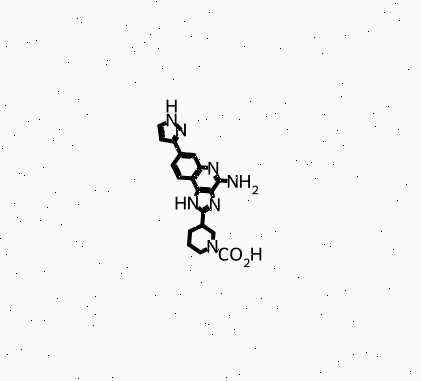 Nc1nc2cc(-c3cc[nH]n3)ccc2c2[nH]c(C3CCCN(C(=O)O)C3)nc12